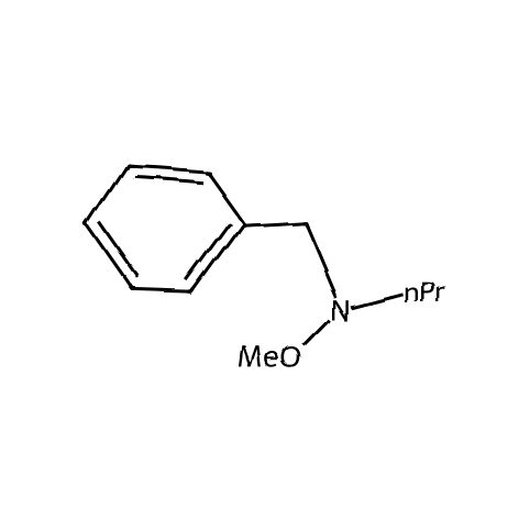 CCCN(Cc1ccccc1)OC